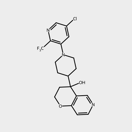 OC1(C2CCN(c3cc(Cl)cnc3C(F)(F)F)CC2)CCOc2ccncc21